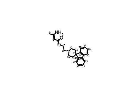 CC(N)=CC(=O)OCCN1CCC(c2ccccc2)(c2ccccc2)CC1